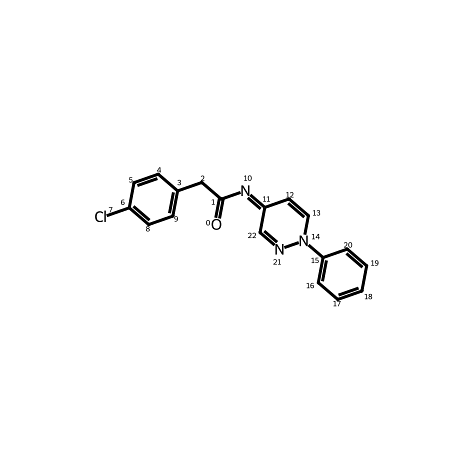 O=C(Cc1ccc(Cl)cc1)/N=c1/ccn(-c2ccccc2)nc1